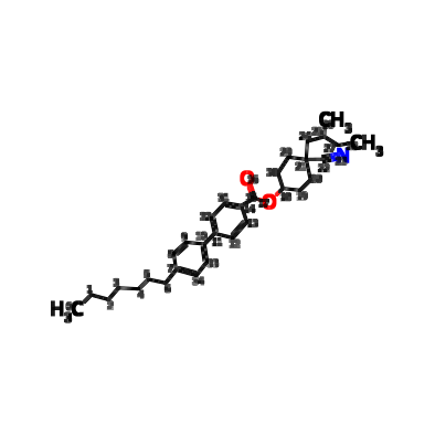 CCCCCCCc1ccc(-c2ccc(C(=O)OC3CCC(C#N)(CC(C)CC)CC3)cc2)cc1